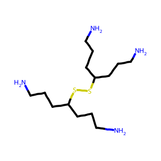 NCCCC(CCCN)SSC(CCCN)CCCN